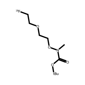 CN(OCCOCC[18F])C(=O)OC(C)(C)C